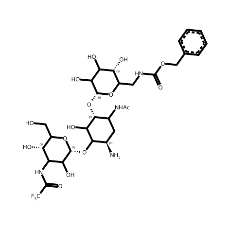 CC(=O)NC1C[C@@H](N)C(O[C@H]2OC(CO)[C@@H](O)C(NC(=O)C(F)(F)F)C2O)C(O)[C@@H]1O[C@H]1OC(CNC(=O)OCc2ccccc2)[C@@H](O)C(O)C1O